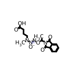 CC(O/N=[N+](\[O-])N(C)CCCC(=O)O)N1C(=O)c2ccccc2C1=O